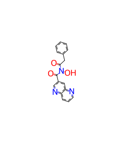 O=C(Cc1ccccc1)N(O)C(=O)c1cnc2cccnc2c1